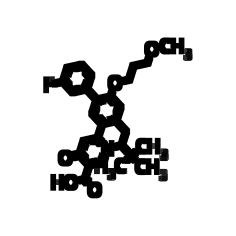 COCCCOc1cc2c(cc1-c1cccc(F)c1)-c1cc(=O)c(C(=O)O)cn1C(C(C)(C)C)C2